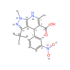 CC1=C(C(=O)O)C(c2cccc([N+](=O)[O-])c2)c2c(C(C)(C)C)nn(C)c2N1